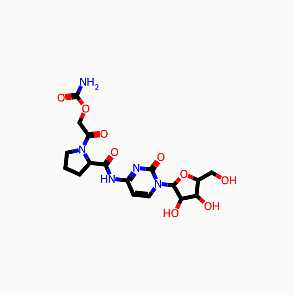 NC(=O)OCC(=O)N1CCCC1C(=O)Nc1ccn(C2OC(CO)C(O)C2O)c(=O)n1